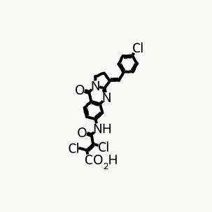 O=C(O)C(Cl)=C(Cl)C(=O)Nc1ccc2c(=O)n3c(nc2c1)C(=Cc1ccc(Cl)cc1)CC3